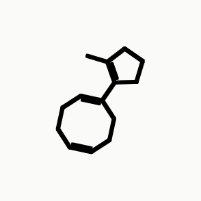 CC1=C(C2=CCCC=CCC2)CCC1